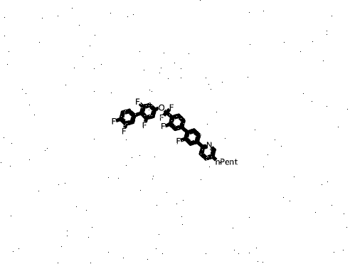 CCCCCc1ccc(-c2ccc(-c3ccc(C(F)(F)Oc4cc(F)c(-c5ccc(F)c(F)c5)c(F)c4)c(F)c3)c(F)c2)nc1